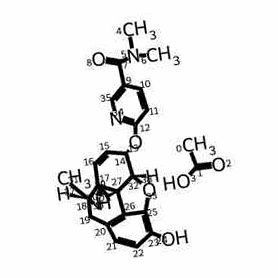 CC(=O)O.CN(C)C(=O)c1ccc(O[C@H]2C=C[C@H]3[C@H]4Cc5ccc(O)c6c5[C@@]3(CCN4C)[C@H]2O6)nc1